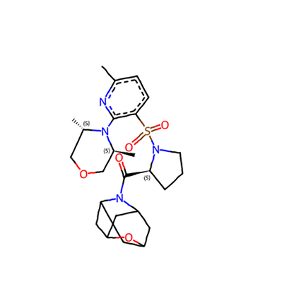 Cc1ccc(S(=O)(=O)N2CCC[C@H]2C(=O)N2C3CC4CC2CC(C3)O4)c(N2[C@@H](C)COC[C@@H]2C)n1